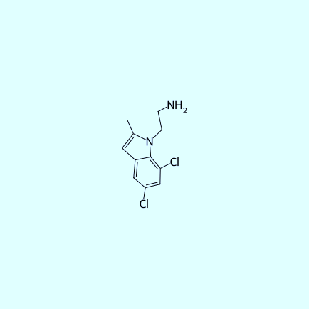 Cc1cc2cc(Cl)cc(Cl)c2n1CCN